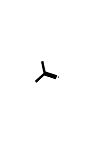 [C]=C(C)C